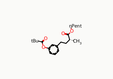 CCCCCOC(=O)[C@H](C)CCc1cccc(OC(=O)C(C)(C)C)c1